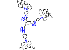 CC1(C)c2ccccc2N(c2ccc(-n3cc(-c4cc(-c5cn(-c6ccc(N7c8ccccc8C(C)(C)c8ccccc87)cc6)nn5)cc(-c5cn(-c6ccc(N7c8ccccc8C(C)(C)c8ccccc87)cc6)nn5)c4)nn3)cc2)c2ccccc21